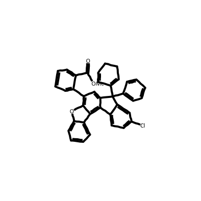 COC(=O)c1ccccc1-c1cc2c(c3c1oc1ccccc13)-c1ccc(Cl)cc1C2(C1=CCCC=C1)c1ccccc1